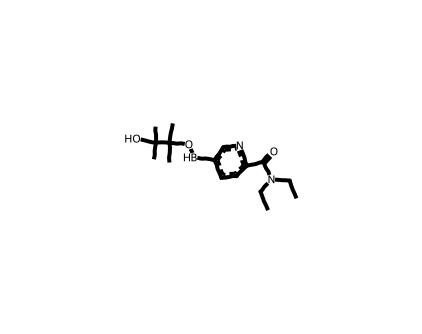 CCN(CC)C(=O)c1ccc(BOC(C)(C)C(C)(C)O)cn1